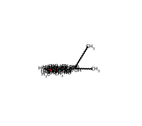 CCCCCCCCCCCCC/C=C/[C@@H](O)[C@H](CO[C@@H]1OC(CO)[C@@H](O[C@@H]2OC(CO)[C@H](O)[C@H](O[C@H]3OC(CO)[C@H](O)[C@H](O[C@@H]4OC(CO)[C@@H](O[C@@H]5OC(CO)[C@H](O)[C@H](O[C@]6(C(=O)O)CC(O)[C@@H](NC(C)=O)C([C@H](O)[C@H](O)CO)O6)C5O)[C@H](O)C4NC(C)=O)C3O)C2O)[C@H](O)C1O)NC(=O)CCCCCCCCCCCCCCCCCCCCC